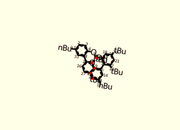 CCCCc1ccc(OP(O)Oc2ccc(CCCC)cc2-c2ccc(C(C)(C)C)cc2C(C)(C)C)c(-c2ccc(C(C)(C)C)cc2C(C)(C)C)c1